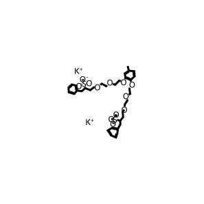 Cc1ccc(OCCOCCOCCC(Cc2ccccc2)S(=O)(=O)[O-])c(OCCOCCOCCC(Cc2ccccc2)S(=O)(=O)[O-])c1.[K+].[K+]